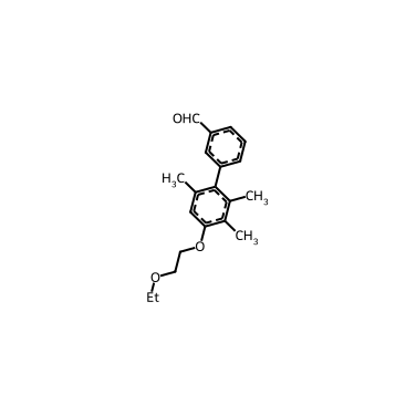 CCOCCOc1cc(C)c(-c2cccc(C=O)c2)c(C)c1C